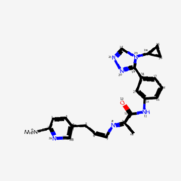 CNc1ccc(C/C=C\N=C(/C)C(=O)Nc2cccc(-c3nncn3C3CC3)c2)cn1